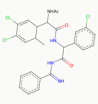 CC(=O)NC(C(=O)NC(C(=O)NC(=N)c1ccccc1)c1cccc(Cl)c1)C1C=C(Cl)C(Cl)=CC1C